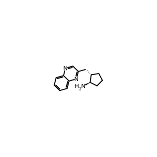 N[C@@H]1CCC[C@H]1Cc1cnc2ccccc2n1